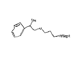 CCCCCCCCCCOCC(O)c1ccccc1